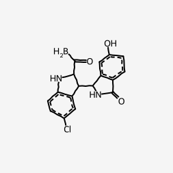 BC(=O)C1Nc2ccc(Cl)cc2C1C1NC(=O)c2ccc(O)cc21